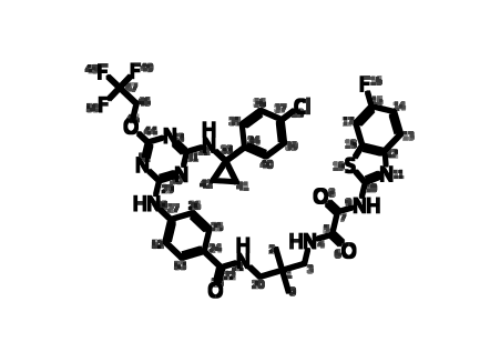 CC(C)(CNC(=O)C(=O)Nc1nc2ccc(F)cc2s1)CNC(=O)c1ccc(Nc2nc(NC3(c4ccc(Cl)cc4)CC3)nc(OCC(F)(F)F)n2)cc1